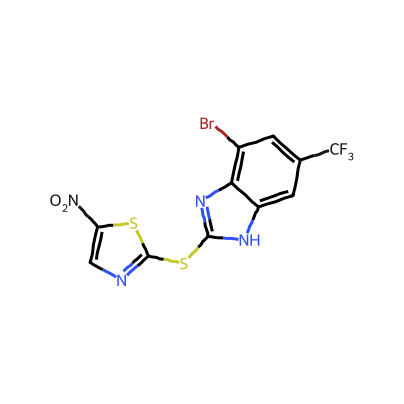 O=[N+]([O-])c1cnc(Sc2nc3c(Br)cc(C(F)(F)F)cc3[nH]2)s1